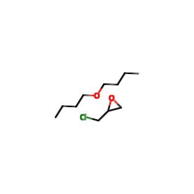 CCCCOCCCC.ClCC1CO1